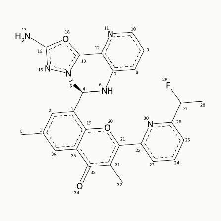 Cc1cc([C@@H](C)Nc2cccnc2-c2nnc(N)o2)c2oc(-c3cccc(C(C)F)n3)c(C)c(=O)c2c1